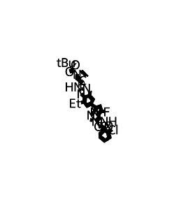 CCc1cc(-c2cc(F)c3c(NS(=O)(=O)c4ccccc4Cl)ncnn23)cc2cnc(N[C@H]3CCCN(C(=O)OC(C)(C)C)C3)nc12